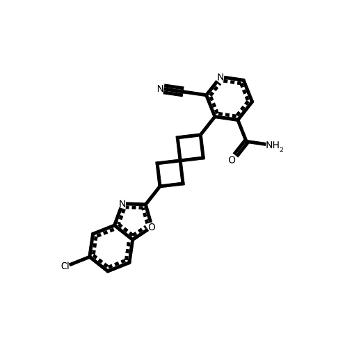 N#Cc1nccc(C(N)=O)c1C1CC2(CC(c3nc4cc(Cl)ccc4o3)C2)C1